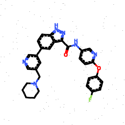 O=C(Nc1ccc(Oc2ccc(F)cc2)nc1)c1n[nH]c2ccc(-c3cncc(CN4CCCCC4)c3)cc12